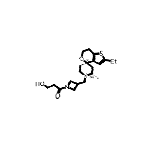 CCc1cc2c(s1)CCO[C@@]21CCN(CC2CN(C(=O)CCO)C2)[C@@H](C)C1